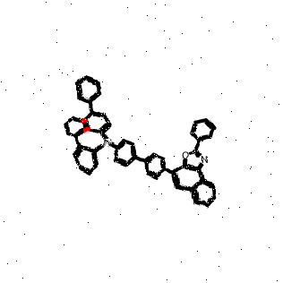 c1ccc(-c2ccc(N(c3ccc(-c4ccc(-c5cc6ccccc6c6nc(-c7ccccc7)oc56)cc4)cc3)c3ccccc3-c3ccccc3)cc2)cc1